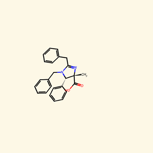 C[C@]1(C(=O)O)N=C(Cc2ccccc2)N(Cc2ccccc2)[C@H]1c1ccccc1